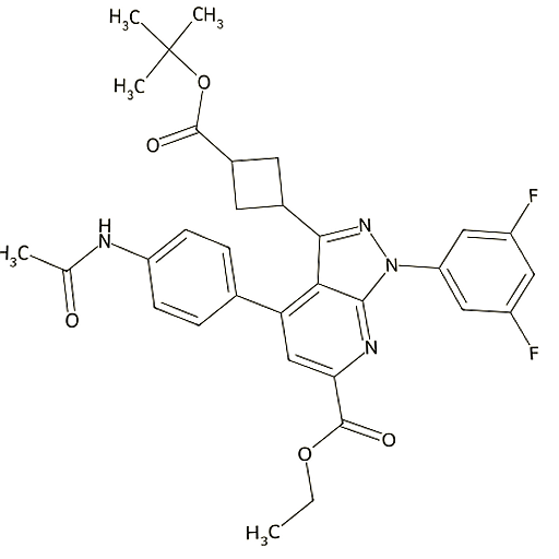 CCOC(=O)c1cc(-c2ccc(NC(C)=O)cc2)c2c(C3CC(C(=O)OC(C)(C)C)C3)nn(-c3cc(F)cc(F)c3)c2n1